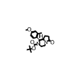 COc1ccc([C@H]2[C@@H]3CCC(=O)N3CCN2C(=O)OC(C)(C)C)c(C)c1